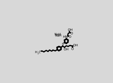 CCCCCCCCCc1ccc(C(Sc2cccc(NC(=O)CC(=O)O)c2)C(O)CCCC(=O)O)cc1.[NaH].[NaH]